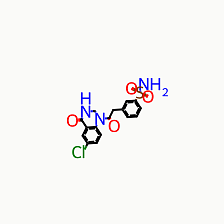 NS(=O)(=O)c1cccc(CC(=O)N2CNC(=O)c3cc(Cl)ccc32)c1